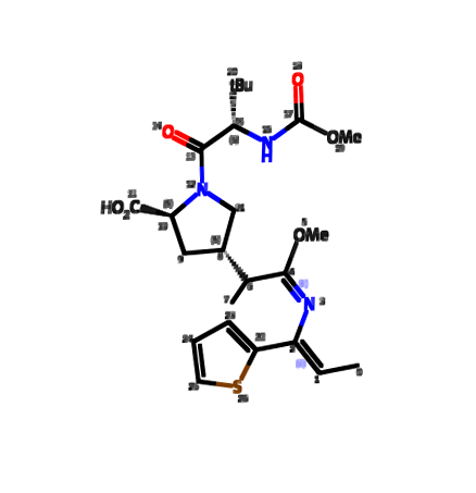 C/C=C(\N=C(\OC)C(C)[C@@H]1C[C@@H](C(=O)O)N(C(=O)[C@@H](NC(=O)OC)C(C)(C)C)C1)c1cccs1